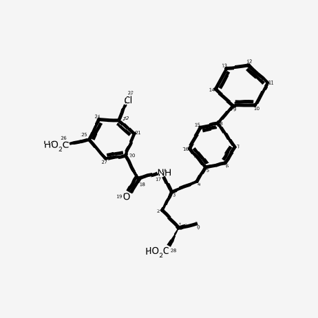 C[C@H](CC(Cc1ccc(-c2ccccc2)cc1)NC(=O)c1cc(Cl)cc(C(=O)O)c1)C(=O)O